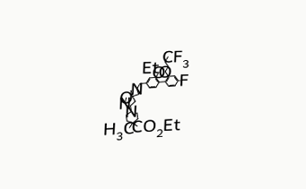 CCOC(=O)C1(C)CCN(C2=NOC3(C2)CN(Cc2ccc(-c4ccc(F)cc4OCCC(F)(F)F)c(OCC)c2)C3)CC1